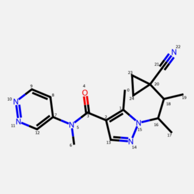 Cc1c(C(=O)N(C)c2ccnnc2)cnn1C(C)C(C)C1(C#N)CC1